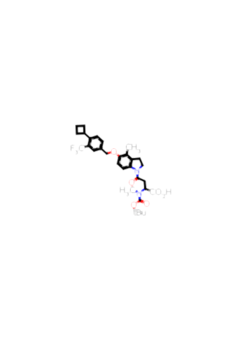 Cc1c(OCc2ccc(C3CCC3)c(C(F)(F)F)c2)ccc2c1CCN2C(=O)CC(C(=O)O)N(C)C(=O)OC(C)(C)C